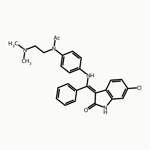 CC(=O)N(CCN(C)C)c1ccc(NC(=C2C(=O)Nc3cc(Cl)ccc32)c2ccccc2)cc1